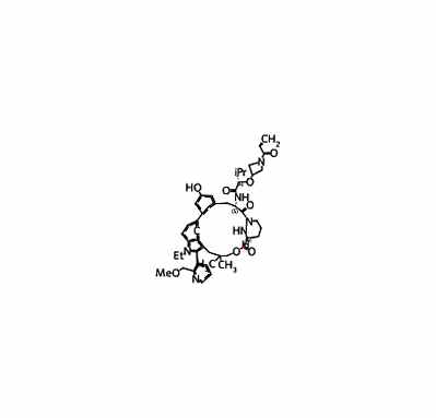 C=CC(=O)N1CC(O[C@H](C(=O)N[C@H]2Cc3cc(O)cc(c3)-c3ccc4c(c3)c(c(-c3cccnc3COC)n4CC)CC(C)(C)COC(=O)[C@@H]3CCCN(N3)C2=O)C(C)C)C1